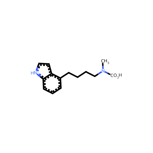 CN(CCCCc1cccc2[nH]ccc12)C(=O)O